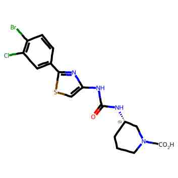 O=C(Nc1csc(-c2ccc(Br)c(Cl)c2)n1)N[C@H]1CCCN(C(=O)O)C1